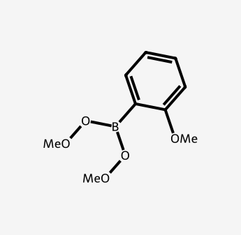 COOB(OOC)c1ccccc1OC